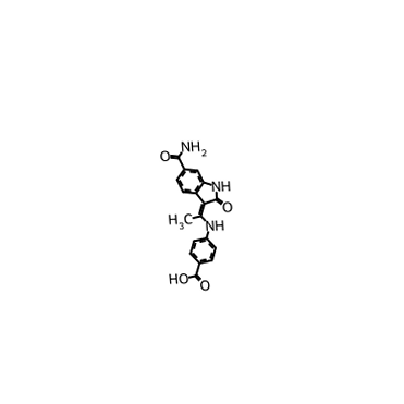 C/C(Nc1ccc(C(=O)O)cc1)=C1/C(=O)Nc2cc(C(N)=O)ccc21